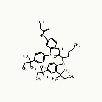 CCCCC(Oc1ccc(C(C)(C)CC)cc1C(C)(C)CC)C(=O)Nc1ccc(NC(=O)CO)cc1Oc1ccc(C(C)(C)CC)cc1